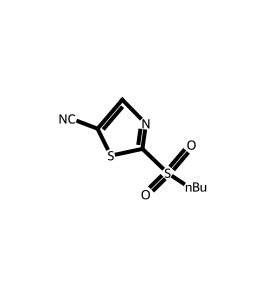 CCCCS(=O)(=O)c1ncc(C#N)s1